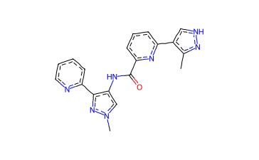 Cc1n[nH]cc1-c1cccc(C(=O)Nc2cn(C)nc2-c2ccccn2)n1